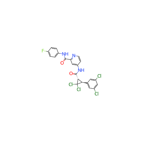 O=C(Nc1ccc(F)cc1)c1cc(NC(=O)[C@@H]2[C@@H](c3cc(Cl)cc(Cl)c3)C2(Cl)Cl)ccn1